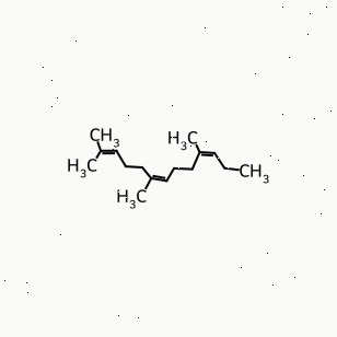 CCC=C(C)CCC=C(C)CCC=C(C)C